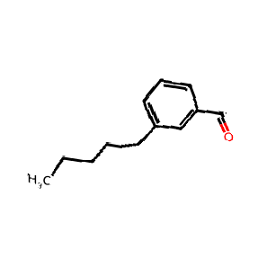 CCCCCc1cccc([C]=O)c1